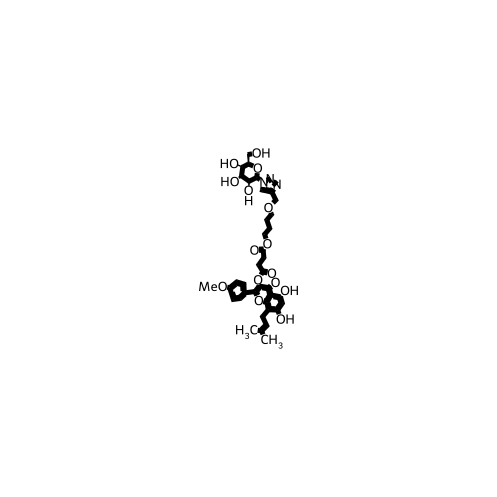 COc1ccc(-c2oc3c(CC=C(C)C)c(O)cc(O)c3c(=O)c2OC(=O)CCC(=O)OCCCCOCc2cn(C3O[C@H](CO)[C@@H](O)[C@H](O)[C@H]3O)nn2)cc1